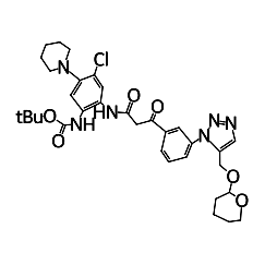 CC(C)(C)OC(=O)Nc1cc(N2CCCCC2)c(Cl)cc1NC(=O)CC(=O)c1cccc(-n2nncc2COC2CCCCO2)c1